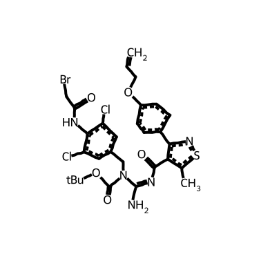 C=CCOc1ccc(-c2nsc(C)c2C(=O)N=C(N)N(Cc2cc(Cl)c(NC(=O)CBr)c(Cl)c2)C(=O)OC(C)(C)C)cc1